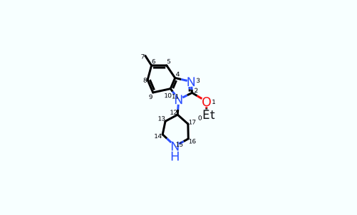 CCOc1nc2cc(C)ccc2n1C1CCNCC1